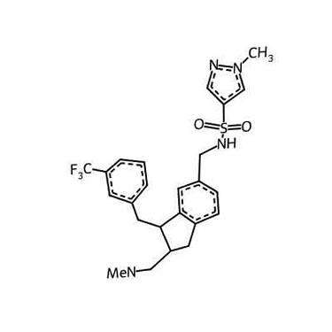 CNCC1Cc2ccc(CNS(=O)(=O)c3cnn(C)c3)cc2C1Cc1cccc(C(F)(F)F)c1